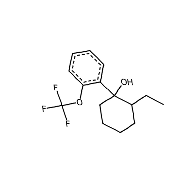 CCC1CCCCC1(O)c1ccccc1OC(F)(F)F